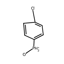 [O-][PH2+]c1ccc(Cl)cc1